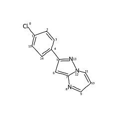 Clc1ccc(-c2cc3ncccn3n2)cc1